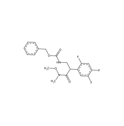 CON(C)C(=O)C(CNC(=O)OCc1ccccc1)c1cc(F)c(F)cc1F